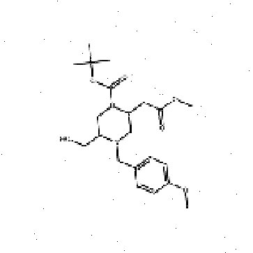 COC(=O)CC1CN(Cc2ccc(OC)cc2)C(CO)CN1C(=O)OC(C)(C)C